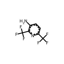 Nc1ccc(C(F)(F)F)nc1C(F)(F)F